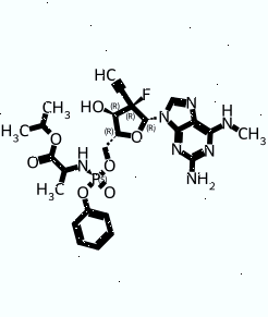 C#C[C@@]1(F)[C@H](O)[C@@H](CO[P@@](=O)(NC(C)C(=O)OC(C)C)Oc2ccccc2)O[C@H]1n1cnc2c(NC)nc(N)nc21